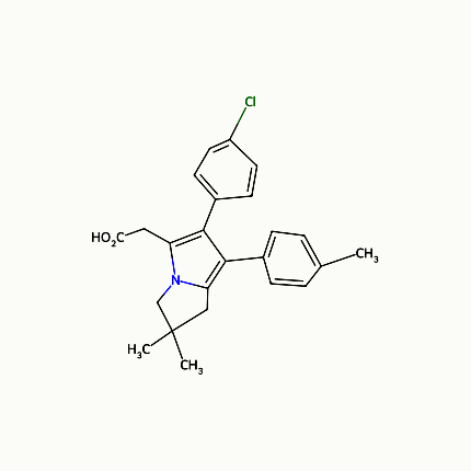 Cc1ccc(-c2c(-c3ccc(Cl)cc3)c(CC(=O)O)n3c2CC(C)(C)C3)cc1